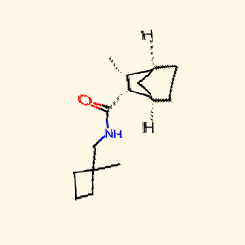 C[C@@H]1[C@H]2CC[C@H](C2)[C@@H]1C(=O)NCC1(C)CCC1